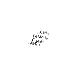 [AlH2][Fe].[CaH2].[MgH2].[NaH]